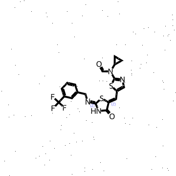 O=CN(c1ncc(/C=C2\S/C(=N\Cc3cccc(C(F)(F)F)c3)NC2=O)s1)C1CC1